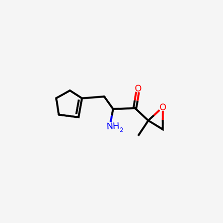 CC1(C(=O)C(N)CC2=CCCC2)CO1